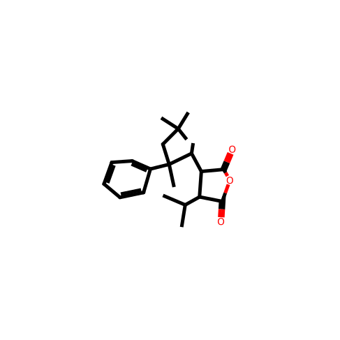 CC(C)C1C(=O)OC(=O)C1C(C)C(C)(CC(C)(C)C)c1ccccc1